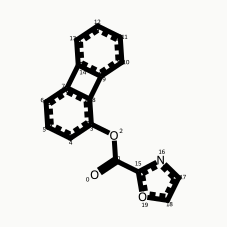 O=C(Oc1cccc2c1-c1ccccc1-2)c1ncco1